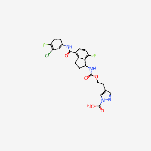 O=C(NC1CCc2c(C(=O)Nc3ccc(F)c(Cl)c3)ccc(F)c21)OCCc1cnn(C(=O)O)c1